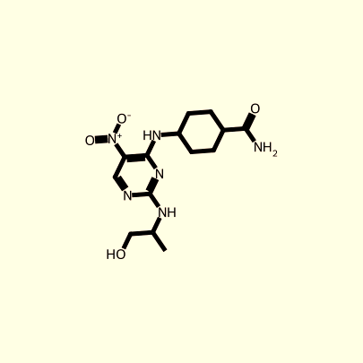 CC(CO)Nc1ncc([N+](=O)[O-])c(NC2CCC(C(N)=O)CC2)n1